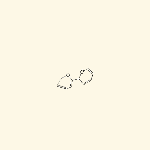 C1=CCOC(C2C=CC=CO2)=C1